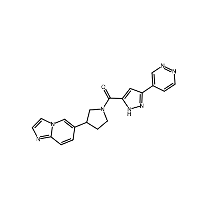 O=C(c1cc(-c2ccnnc2)n[nH]1)N1CCC(c2ccc3nccn3c2)C1